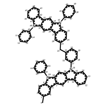 Cc1ccc2c(c1)c1cc3c4ccccc4n(-c4cccc(Cc5ccc6c(c5)c5cc7c(cc5n6-c5ccccc5)c5ccccc5n7-c5ccccc5)c4)c3cc1n2-c1ccccc1